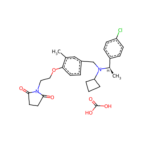 Cc1cc(CN(C2CCC2)[C@H](C)c2ccc(Cl)cc2)ccc1OCCN1C(=O)CCC1=O.O=C(O)O